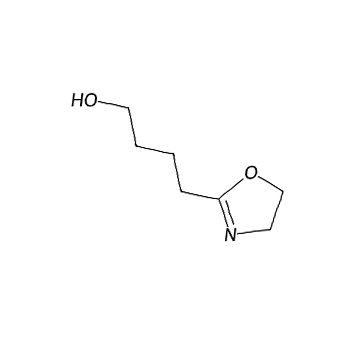 OCCCCC1=NCCO1